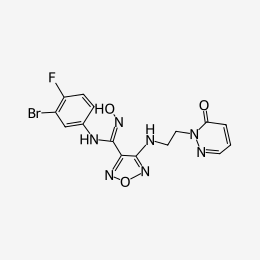 O=c1cccnn1CCNc1nonc1C(=NO)Nc1ccc(F)c(Br)c1